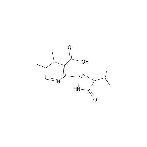 CC(C)C1N=C(C2=C(C(=O)O)C(C)C(C)C=N2)NC1=O